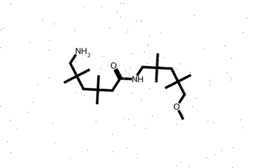 COCC(C)(C)CC(C)(C)CNC(=O)CC(C)(C)CC(C)(C)CN